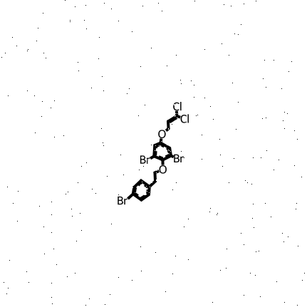 ClC(Cl)=CCOc1cc(Br)c(OCCc2ccc(Br)cc2)c(Br)c1